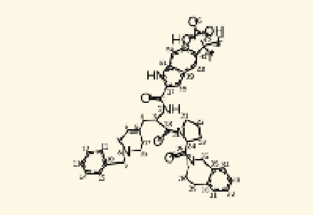 O=C(NC(CC1=CCN(Cc2ccccc2)CC1)C(=O)N1CCC[C@H]1C(=O)N1CCc2ccccc2C1)c1cc2cc(C(F)(F)P(=O)(O)O)ccc2[nH]1